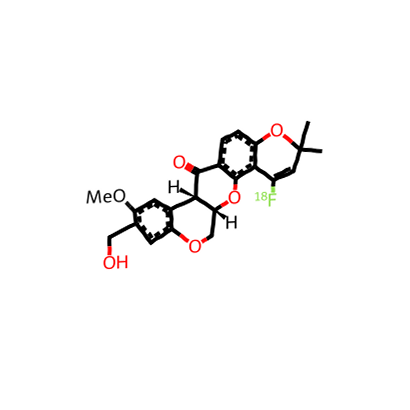 COc1cc2c(cc1CO)OC[C@H]1Oc3c(ccc4c3C([18F])=CC(C)(C)O4)C(=O)[C@@H]21